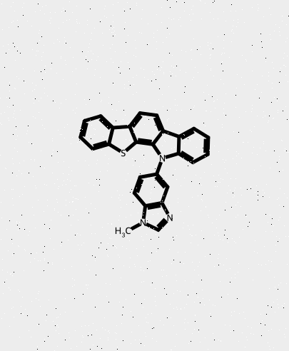 Cn1cnc2cc(-n3c4ccccc4c4ccc5c6ccccc6sc5c43)ccc21